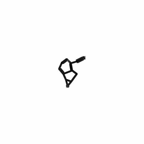 N#Cc1cccc2c1CC1OC21